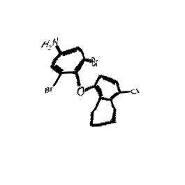 Nc1cc(Br)c(Oc2ccc(Cl)c3c2CCCC3)c(Br)c1